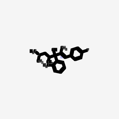 C/C(=C\c1ccc(F)cc1)C(O)(c1ccccc1C)C(C)CN(C)C